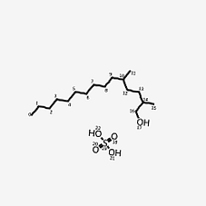 CCCCCCCCCCC(C)CCC(C)CO.O=S(=O)(O)O